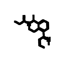 C=C(CC)N1CCc2c(C(/C=C\C)=N/C)cccc2C1C